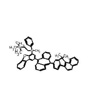 CC1(C)c2cc(-c3c4ccccc4c(-c4cc([Si](C)(CC[Si](C)(C)C)c5ccccc5)c5oc6ccccc6c5c4)c4ccccc34)ccc2-c2ccc3ccccc3c21